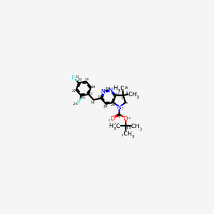 CC(C)(C)OC(=O)N1CC(C)(C)c2nnc(Cc3ccc(F)cc3F)cc21